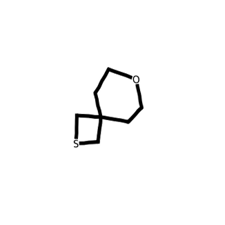 C1CC2(CCO1)CSC2